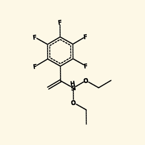 C=C(c1c(F)c(F)c(F)c(F)c1F)[SiH](OCC)OCC